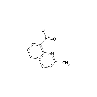 Cc1cnc2cccc([N+](=O)[O-])c2n1